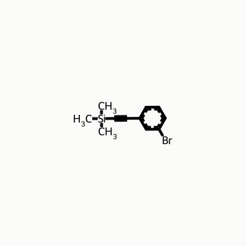 C[Si](C)(C)C#Cc1cccc(Br)c1